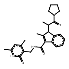 CC1=C(C(=O)NCc2c(C)cc(C)[nH]c2=O)c2ccccc2C1C(C)C(=O)N1CCCC1